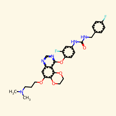 CN(C)CCCOc1cc2ncnc(Oc3ccc(NC(=O)NCc4ccc(F)cc4)cc3F)c2c2c1OCCO2